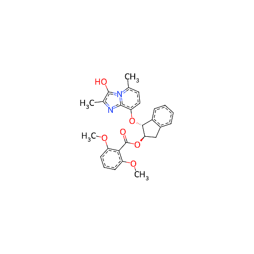 COc1cccc(OC)c1C(=O)O[C@@H]1Cc2ccccc2[C@H]1Oc1ccc(C)n2c(O)c(C)nc12